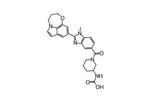 Cn1c(-c2cc3c4c(ccn4CCCO3)c2)nc2cc(C(=O)N3CCCC(NC(=O)O)C3)ccc21